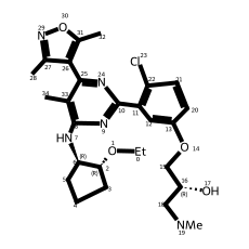 CCO[C@@H]1CCC[C@H]1Nc1nc(-c2cc(OC[C@H](O)CNC)ccc2Cl)nc(-c2c(C)noc2C)c1C